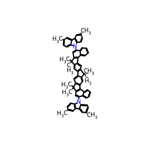 Cc1ccc2c(c1)c1cc(C)ccc1n2-c1cc2c(c3ccccc13)-c1cc3c(cc1C2(C)C)-c1cc2c(cc1C3(C)C)-c1c(cc(-n3c4ccc(C)cc4c4cc(C)ccc43)c3ccccc13)C2(C)C